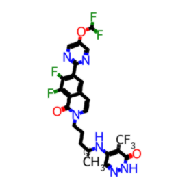 C[C@@H](CCCn1ccc2cc(-c3ncc(OC(F)F)cn3)c(F)c(F)c2c1=O)Nc1cn[nH]c(=O)c1C(F)(F)F